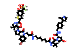 CC1=C(c2ccc(CNC(=O)[C@@H]3C[C@@H](O)CN3C(=O)C(NC(=O)CCCCCCNC(=O)CCN(C(=O)C3CCCN3C(=O)C(NC(=O)c3cc4cc(C(F)(F)P(=O)(O)O)ccc4s3)C(C)(C)C)c3ccc(Br)cc3)C(C)(C)C)cc2)CC=N1